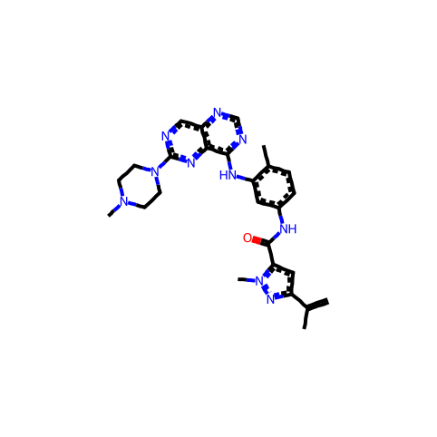 C=C(C)c1cc(C(=O)Nc2ccc(C)c(Nc3ncnc4cnc(N5CCN(C)CC5)nc34)c2)n(C)n1